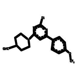 CCc1nc(-c2ccc(OC(F)(F)F)cc2)cc(N2CCC(C=O)CC2)n1